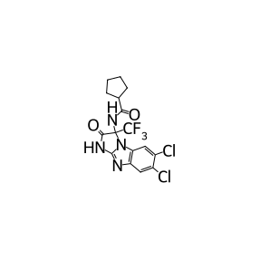 O=C(NC1(C(F)(F)F)C(=O)Nc2nc3cc(Cl)c(Cl)cc3n21)C1CCCC1